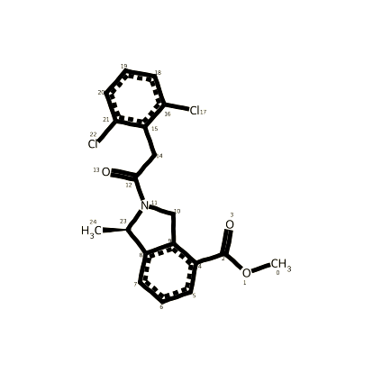 COC(=O)c1cccc2c1CN(C(=O)Cc1c(Cl)cccc1Cl)[C@@H]2C